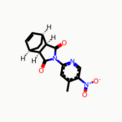 Cc1cc(N2C(=O)[C@@H]3[C@H](C2=O)[C@@H]2C=C[C@H]3CC2)ncc1[N+](=O)[O-]